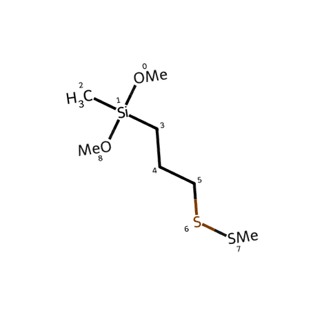 CO[Si](C)(CCCSSC)OC